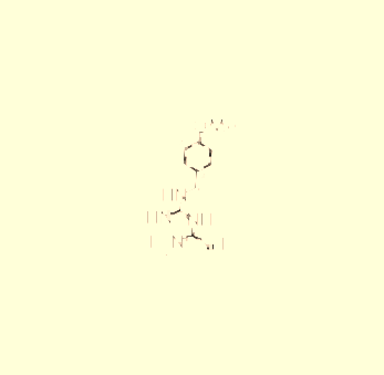 COc1ccc(CNC(=N)NC(=N)N)cc1